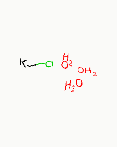 O.O.O.[Cl][K]